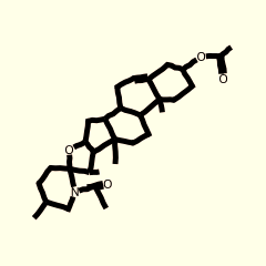 CC(=O)OC1CCC2(C)C(=CCC3C2CCC2(C)C3CC3OC4(CCC(C)CN4C(C)=O)C(C)C32)C1